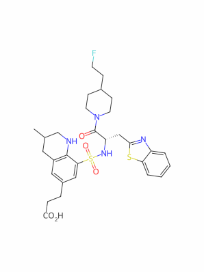 CC1CNc2c(cc(CCC(=O)O)cc2S(=O)(=O)N[C@@H](Cc2nc3ccccc3s2)C(=O)N2CCC(CCF)CC2)C1